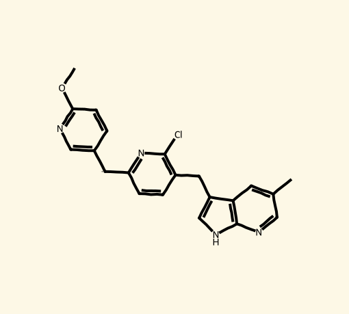 COc1ccc([CH]c2ccc(Cc3c[nH]c4ncc(C)cc34)c(Cl)n2)cn1